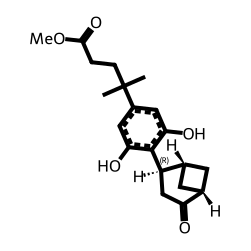 COC(=O)CCC(C)(C)c1cc(O)c([C@@H]2CC(=O)[C@H]3C[C@@H]2C3)c(O)c1